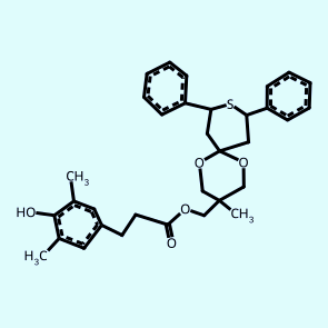 Cc1cc(CCC(=O)OCC2(C)COC3(CC(c4ccccc4)SC(c4ccccc4)C3)OC2)cc(C)c1O